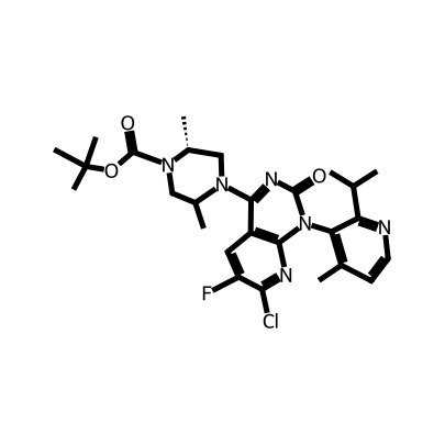 Cc1ccnc(C(C)C)c1-n1c(=O)nc(N2C[C@@H](C)N(C(=O)OC(C)(C)C)CC2C)c2cc(F)c(Cl)nc21